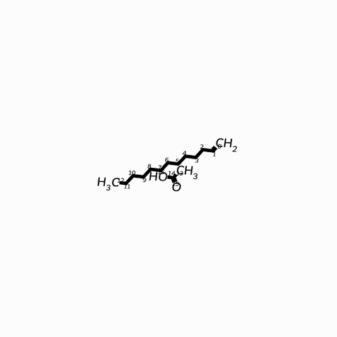 C=CCCCCCCCCCCC.CC(=O)O